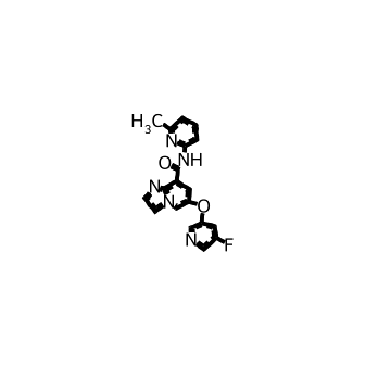 Cc1cccc(NC(=O)c2cc(Oc3cncc(F)c3)cn3ccnc23)n1